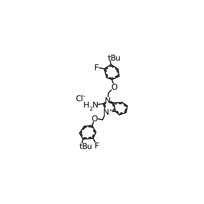 CC(C)(C)c1ccc(OCn2c(N)[n+](COc3ccc(C(C)(C)C)c(F)c3)c3ccccc32)cc1F.[Cl-]